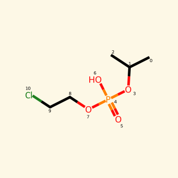 CC(C)OP(=O)(O)OCCCl